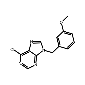 COc1cccc(Cn2cnc3c(Cl)ncnc32)c1